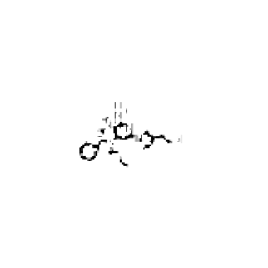 CCOC(=O)N(Cc1ccccc1)c1cc(-n2cc(CCO)cn2)nc(N)c1[N+](=O)[O-]